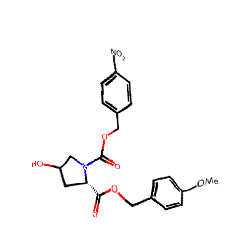 COc1ccc(COC(=O)[C@@H]2CC(O)CN2C(=O)OCc2ccc([N+](=O)[O-])cc2)cc1